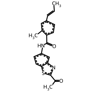 C/C=C/c1ccc(C(=O)Nc2ccc3sc(C(C)=O)nc3c2)c(C)c1